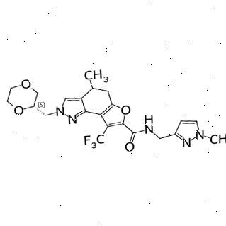 CC1Cc2oc(C(=O)NCc3ccn(C)n3)c(C(F)(F)F)c2-c2nn(C[C@H]3COCCO3)cc21